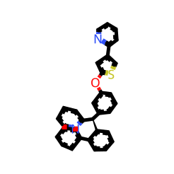 c1ccc(-c2ccccc2[C@H](c2cccc(Oc3cc(-c4ccccn4)cs3)c2)c2ccccn2)cc1